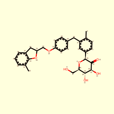 Cc1ccc([C@@H]2O[C@H](CO)[C@@H](O)[C@H](O)C2=O)cc1Cc1ccc(OCC2Cc3cccc(C)c3O2)cc1